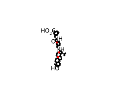 C=C(C)[C@@H]1CC[C@]2(CNCc3cccc(C(=O)NCc4cccc(C(=O)O)c4)c3)CC[C@]3(C)C(CCC4[C@@]5(C)CC[C@H](O)C(C)(C)C5CC[C@]43C)C12